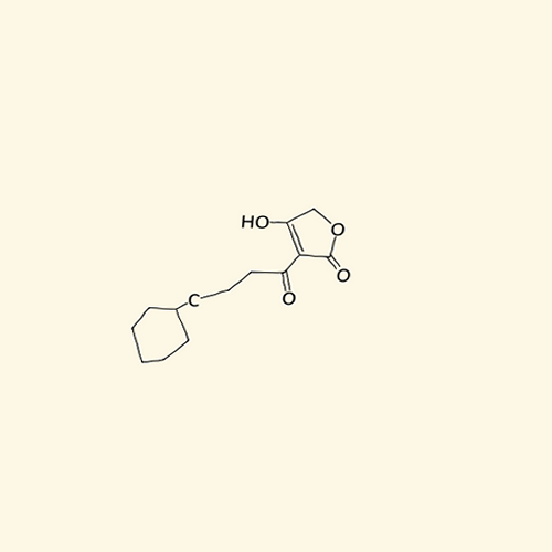 O=C(CCCC1CCCCC1)C1=C(O)COC1=O